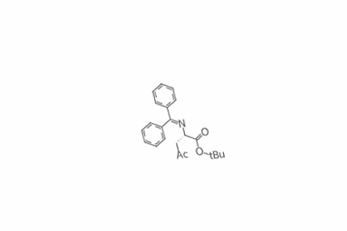 CC(=O)C[C@H](N=C(c1ccccc1)c1ccccc1)C(=O)OC(C)(C)C